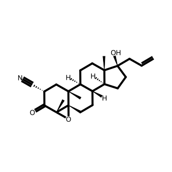 C=CC[C@]1(O)CC[C@H]2[C@@H]3CC[C@@]45O[C@]4(C)C(=O)[C@H](C#N)C[C@]5(C)[C@H]3CC[C@@]21C